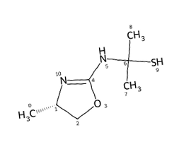 C[C@H]1COC(NC(C)(C)S)=N1